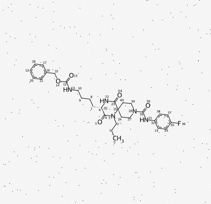 CCCN1C(=O)[C@H](CCCCNC(=O)OCc2ccccc2)NC(=O)C12CCN(C(=O)Nc1ccc(F)cc1)CC2